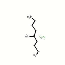 CCCC[CH]([Al+2])CCCC.[Cl-].[Cl-]